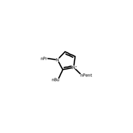 CCCCC[n+]1ccn(CCC)c1CCCC